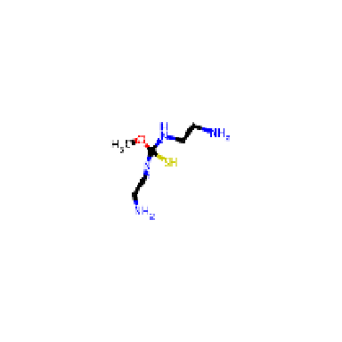 COC(S)(NCCN)NCCN